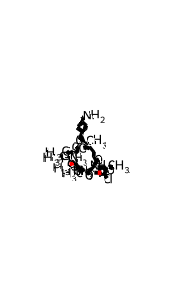 COc1ccc(C[C@H]2NC(=O)/C=C/C[C@@H](C(C)[C@H]3O[C@@H]3c3ccc(CN)cc3)OC(=O)[C@H](CC(C)(C)C)NC(=O)C(C)(C)C(C)NC2=O)cc1Cl